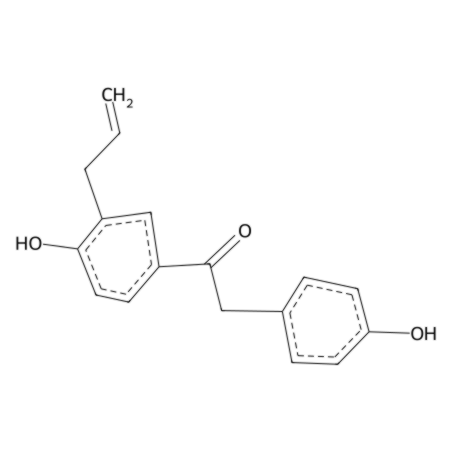 C=CCc1cc(C(=O)Cc2ccc(O)cc2)ccc1O